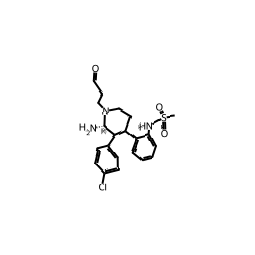 CS(=O)(=O)Nc1ccccc1C1CCN(CCC=O)[C@@H](N)C1c1ccc(Cl)cc1